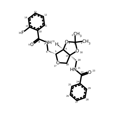 CC1(C)O[C@@H]2[C@@H](CNC(=O)c3ccccc3F)OC[C@]2(CNC(=O)c2ccccc2)O1